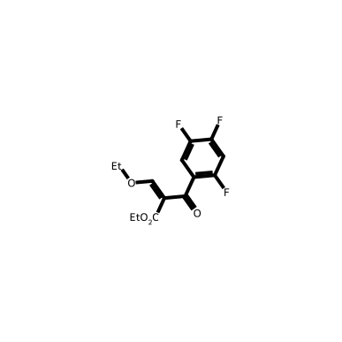 CCOC=C(C(=O)OCC)C(=O)c1cc(F)c(F)cc1F